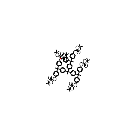 CC(C)(C)OC(=O)Cc1ccc(C(C)(c2ccc(CC(=O)OC(C)(C)C)cc2)c2ccc(C(C)(c3ccc(C(C)(c4ccc(OC(=O)OC(C)(C)C)cc4)c4ccc(OC(=O)OC(C)(C)C)cc4)cc3)c3ccc(C(C)(c4ccc(OC(=O)OC(C)(C)C)cc4)c4ccc(OC(=O)OC(C)(C)C)cc4)cc3)cc2)cc1